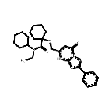 CCN(C(=O)C1(OCc2cc(=O)n3nc(-c4ccccc4)nc3[nH]2)CCCCC1)C1CCCCC1